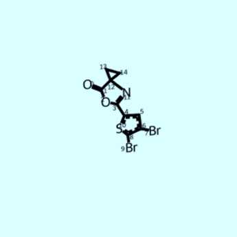 O=C1OC(c2cc(Br)c(Br)s2)=NC12CC2